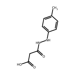 Cc1ccc(NNC(=O)CC(=O)O)cc1